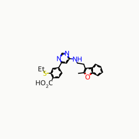 CCSc1cc(-c2cc(NCCc3c(C)oc4ccccc34)ncn2)ccc1C(=O)O